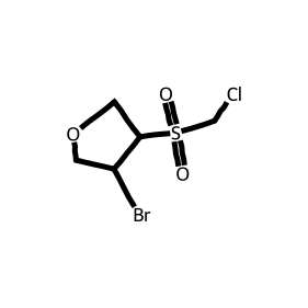 O=S(=O)(CCl)C1COCC1Br